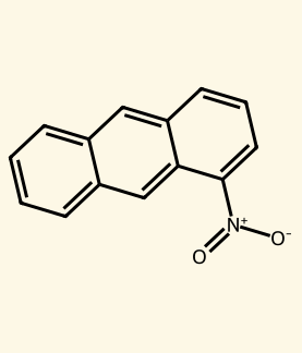 O=[N+]([O-])c1cccc2cc3ccccc3cc12